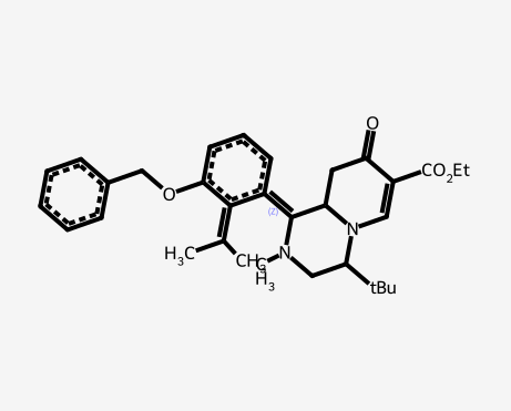 CCOC(=O)C1=CN2C(CC1=O)/C(=c1\cccc(OCc3ccccc3)c1=C(C)C)N(C)CC2C(C)(C)C